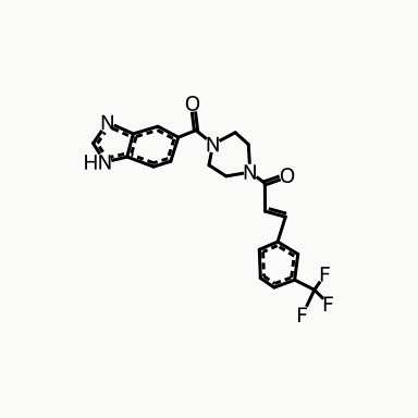 O=C(C=Cc1cccc(C(F)(F)F)c1)N1CCN(C(=O)c2ccc3[nH]cnc3c2)CC1